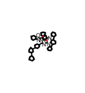 c1ccc(-c2cccc(-c3ccc(-c4nc(-c5ccccc5)nc(-n5c6ccccc6c6ccc7c8ccccc8n(-c8ccc(-c9nc%10ccccc%10o9)cc8)c7c65)n4)cc3)c2)cc1